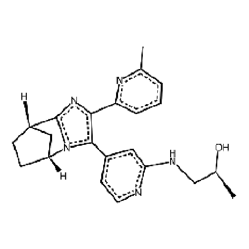 Cc1cccc(-c2nc3n(c2-c2ccnc(NC[C@H](C)O)c2)[C@@H]2CC[C@H]3C2)n1